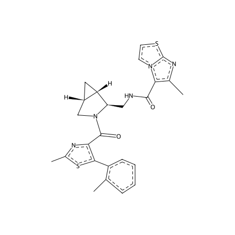 Cc1nc(C(=O)N2C[C@@H]3C[C@@H]3[C@H]2CNC(=O)c2c(C)nc3sccn23)c(-c2ccccc2C)s1